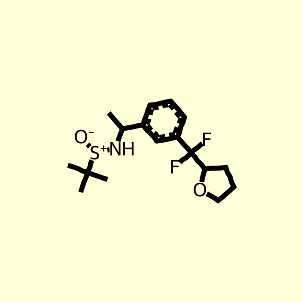 CC(N[S+]([O-])C(C)(C)C)c1cccc(C(F)(F)C2CCCO2)c1